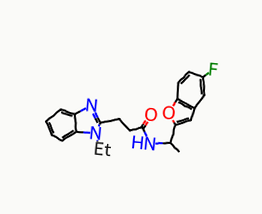 CCn1c(CCC(=O)NC(C)c2cc3cc(F)ccc3o2)nc2ccccc21